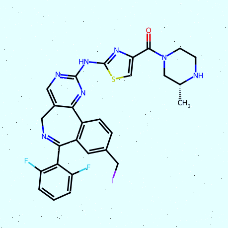 C[C@@H]1CN(C(=O)c2csc(Nc3ncc4c(n3)-c3ccc(CI)cc3C(c3c(F)cccc3F)=NC4)n2)CCN1